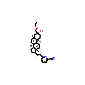 CCOC[C@@]1(O)CC[C@H]2[C@H](CC[C@@H]3[C@@H]2CC[C@]2(C)[C@@H]([C@@H](C)Cc4cccc(C#N)n4)CC[C@@H]32)C1